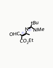 CCOC(=O)/C(C=O)=C(C)/N=C(\NC)C(C)(C)C